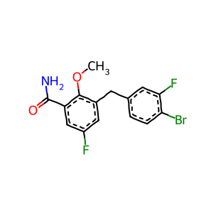 COc1c(Cc2ccc(Br)c(F)c2)cc(F)cc1C(N)=O